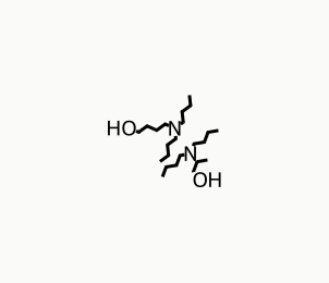 CCCCN(CCCC)C(C)CO.CCCCN(CCCC)CCCCO